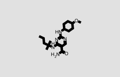 CCCC(C)(C)Nc1nc(NC2CCC(OC)CC2)ncc1C(N)=O